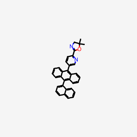 CC1(C)CN=C(c2ccc(-c3c4ccccc4c(-c4cccc5ccccc45)c4ccccc34)cn2)O1